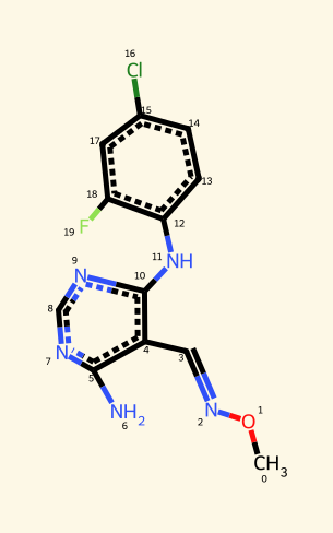 CON=Cc1c(N)ncnc1Nc1ccc(Cl)cc1F